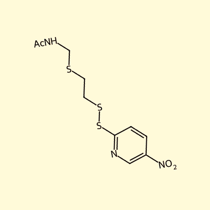 CC(=O)NCSCCSSc1ccc([N+](=O)[O-])cn1